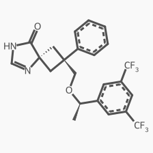 C[C@@H](OC[C@]1(c2ccccc2)C[C@]2(C1)N=CNC2=O)c1cc(C(F)(F)F)cc(C(F)(F)F)c1